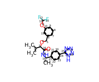 CC(C)[C@@H](OCc1cccc(OC(F)F)c1)C(=O)N[C@@H](C)c1ccc(-c2nnn[nH]2)cc1